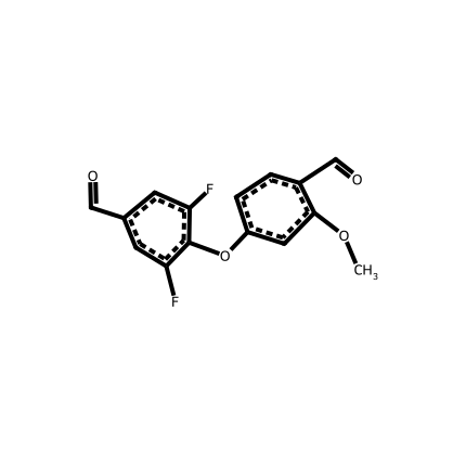 COc1cc(Oc2c(F)cc(C=O)cc2F)ccc1C=O